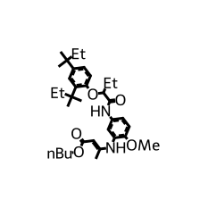 CCCCOC(=O)C=C(C)Nc1cc(NC(=O)C(CC)Oc2ccc(C(C)(C)CC)cc2C(C)(C)CC)ccc1OC